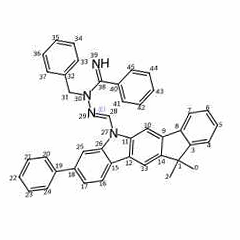 CC1(C)c2ccccc2-c2cc3c(cc21)c1ccc(-c2ccccc2)cc1n3/C=N/N(Cc1ccccc1)C(=N)c1ccccc1